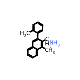 Cc1ccccc1-c1cc2ccccc2c(C)c1C.N